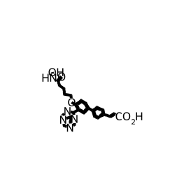 O=C(O)/C=C/c1ccc(-c2ccc(OCCCCC(=O)NO)c(C3N4CN5CN(C4)CN3C5)c2)cc1